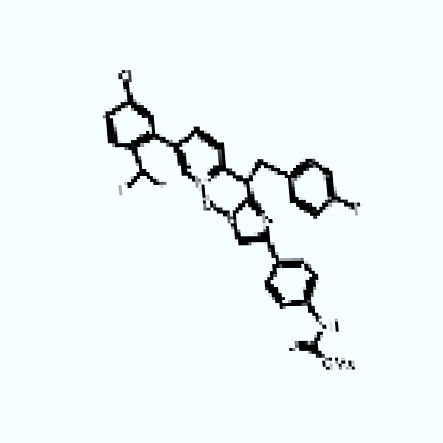 COC(=O)Nc1ccc(-c2cn3c(n2)C(Cc2ccc(F)cc2)c2ccc(-c4cc(Cl)ccc4C(F)F)c[n+]2O3)cc1